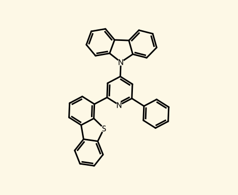 c1ccc(-c2cc(-n3c4ccccc4c4ccccc43)cc(-c3cccc4c3sc3ccccc34)n2)cc1